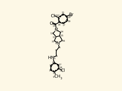 Cc1ccc(NCCCN2CC3CN(C(=O)c4ccc(Br)cc4Cl)CC3C2)cc1Cl